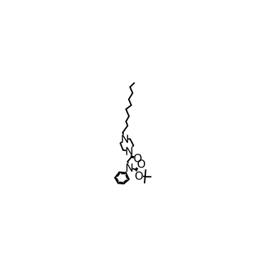 CCCCCCCCCCN1CCN(C(=O)CN(C(=O)OC(C)(C)C)c2ccccc2)CC1